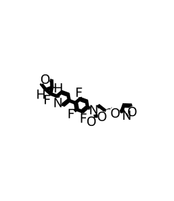 O=C1O[C@@H](COc2ccon2)CN1c1cc(F)c(-c2ccc([C@@]3(F)[C@@H]4COC[C@@H]43)nc2)c(F)c1F